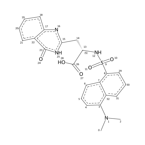 CN(C)c1cccc2c(S(=O)(=O)N[C@@H](Cc3nc4ccccc4c(=O)[nH]3)C(=O)O)cccc12